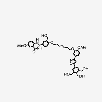 COc1ccc2c(c1)C(=O)NC(c1ccc(OCCCCCCCOc3cc(-c4cc(-c5cc(CO)c(CO)c(CO)c5)on4)ccc3OC)c(CO)c1)N2